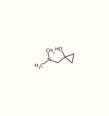 CN(C)CC1(O)CC1